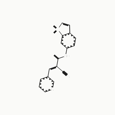 N#C/C(=C\c1cccnc1)C(=O)Nc1ccc2c(c1)S(=O)(=O)C=C2